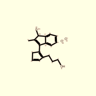 CC1=C(C2=C(CCCO)C=CC2)c2ccccc2[CH]1[Zr+2].[Cl-].[Cl-]